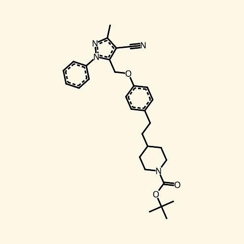 Cc1nn(-c2ccccc2)c(COc2ccc(CCC3CCN(C(=O)OC(C)(C)C)CC3)cc2)c1C#N